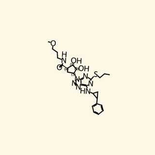 CCCSc1nc(NC2CC2c2ccccc2)c2nnn([C@H]3C[C@@H](C(=O)NCCCOC)[C@H](O)[C@@H]3O)c2n1